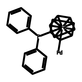 [Pd][C]12[CH]3[CH]4[CH]5[C]1(P(c1ccccc1)c1ccccc1)[Fe]43521678[CH]2[CH]1[CH]6[CH]7[CH]28